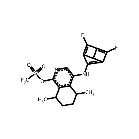 CC1CCC(C)c2c(OS(=O)(=O)C(F)(F)F)ncc(NC3=C4C(F)=C5C(F)=C3C54)c21